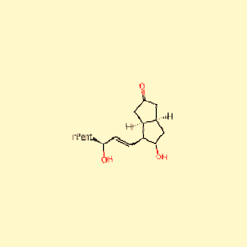 CCCCC[C@H](O)C=C[C@H]1[C@H]2CC(=O)C[C@H]2C[C@H]1O